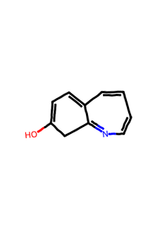 OC1=CC=C2C=CC=CN=C2C1